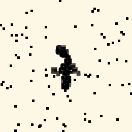 COc1ccc(CN2CCC(NC(=O)N3[C@H](C)CN(c4ncc(C(F)(F)F)cn4)C[C@@H]3C)CC2)cc1